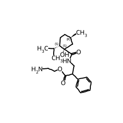 CC(C)[C@@H]1CC[C@@H](C)C[C@@]1(O)C(=O)NCC(C(=O)OCCN)c1ccccc1